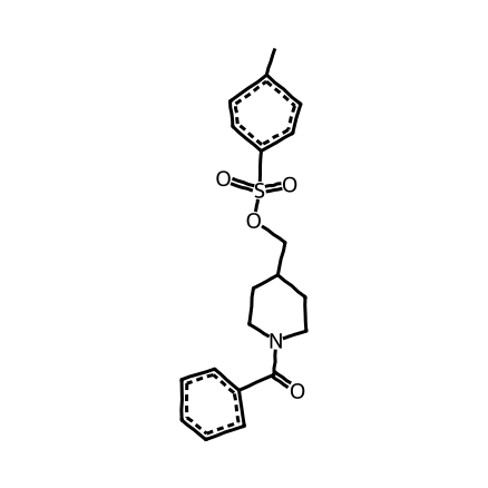 Cc1ccc(S(=O)(=O)OCC2CCN(C(=O)c3ccccc3)CC2)cc1